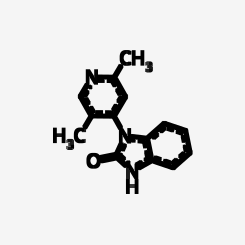 Cc1cc(-n2c(=O)[nH]c3ccccc32)c(C)cn1